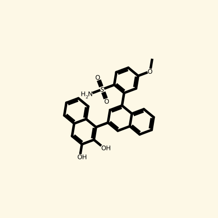 COc1ccc(S(N)(=O)=O)c(-c2cc(-c3c(O)c(O)cc4ccccc34)cc3ccccc23)c1